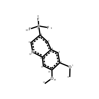 COc1cc2cc([B-](F)(F)F)cnc2cc1OC